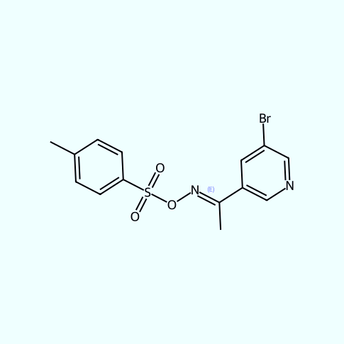 C/C(=N\OS(=O)(=O)c1ccc(C)cc1)c1cncc(Br)c1